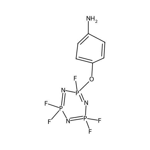 Nc1ccc(OP2(F)=NP(F)(F)=NP(F)(F)=N2)cc1